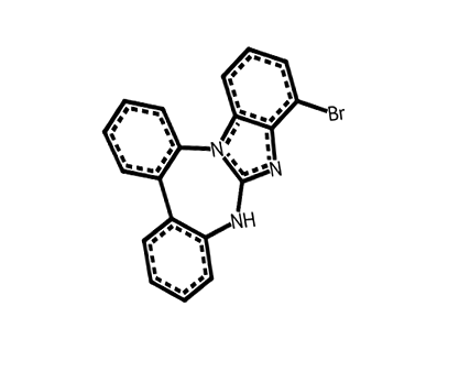 Brc1cccc2c1nc1n2-c2ccccc2-c2ccccc2N1